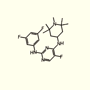 CN1C(C)(C)CC(Nc2nc(Nc3cc(F)cc(F)c3)ncc2F)CC1(C)C